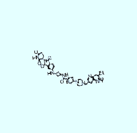 CCc1cc2ncc(CN3CCN(c4ccc(C(=O)NC5CC(Nc6ccc7c(c6)C(=O)N([C@H]6CCC(=O)NC6=O)C7=O)C5)nc4)CC3)cc2[nH]c1=O